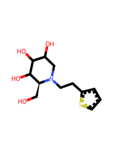 OC[C@H]1C(O)C(O)C(O)CN1CCc1cccs1